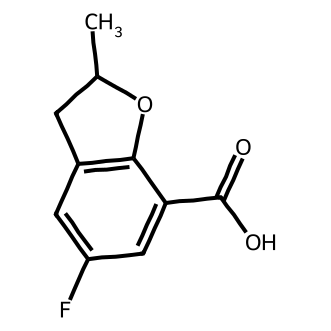 CC1Cc2cc(F)cc(C(=O)O)c2O1